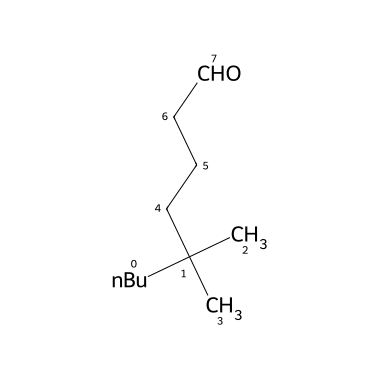 CCCCC(C)(C)CCCC=O